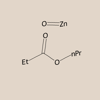 CCCOC(=O)CC.[O]=[Zn]